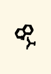 IC(I)I.c1ccc2ncccc2c1